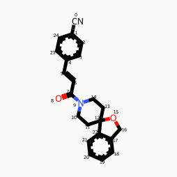 N#Cc1ccc(/C=C/C(=O)N2CCC3(CC2)OCc2ccccc23)cc1